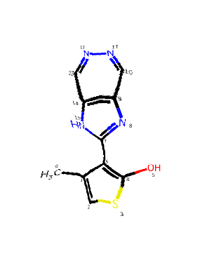 Cc1csc(O)c1-c1nc2cnncc2[nH]1